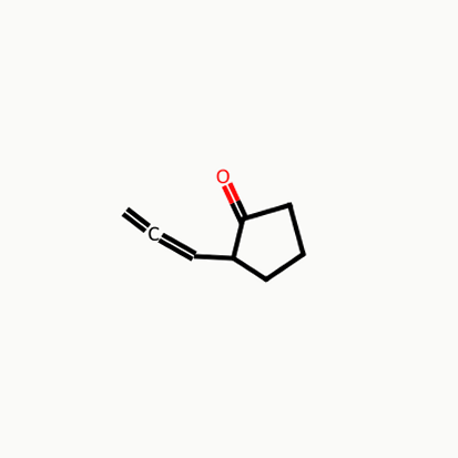 C=C=CC1CCCC1=O